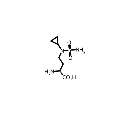 N[C@@H](CCN(C1CC1)S(N)(=O)=O)C(=O)O